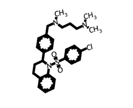 CN(C)CCCN(C)Cc1ccc(C2CCc3ccccc3N2S(=O)(=O)c2ccc(Cl)cc2)cc1